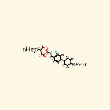 CCCCCCCC1COC(CCc2ccc([C@H]3CC[C@H](CCCCC)CC3)cc2F)OC1